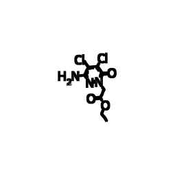 CCOC(=O)Cn1nc(N)c(Cl)c(Cl)c1=O